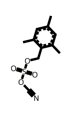 Cc1cc(C)c(COS(=O)(=O)OC#N)c(C)c1